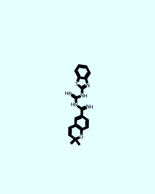 CC1(C)C=Cc2cc(C(=N)NC(=N)Nc3nc4ccccc4s3)ccc2O1